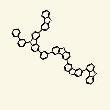 c1ccc(-c2cccc(-n3c4ccc(-c5cccc(-c6ccc7sc8ccc(-c9ccc%10sc%11ccc(-c%12cccc%13oc%14ccccc%14c%12%13)cc%11c%10c9)cc8c7c6)c5)cc4c4cc(-c5ccc6sc7ccccc7c6c5)ccc43)c2)cc1